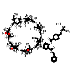 Cl.NC(N)=NCC1CCC(C(=O)Oc2ccccc2C(=O)OCc2ccccc2)CC1.OC[C@H]1O[C@@H]2O[C@H]3[C@H](O)[C@@H](O)[C@@H](O[C@H]4[C@H](O)[C@@H](O)[C@@H](O[C@H]5[C@H](O)[C@@H](O)[C@@H](O[C@H]6[C@H](O)[C@@H](O)[C@@H](O[C@H]7[C@H](O)[C@@H](O)[C@@H](O[C@H]8[C@H](O)[C@@H](O)[C@@H](O[C@H]1[C@H](O)[C@H]2O)O[C@@H]8CO)O[C@@H]7CO)O[C@@H]6CO)O[C@@H]5CO)O[C@@H]4CO)O[C@@H]3CO